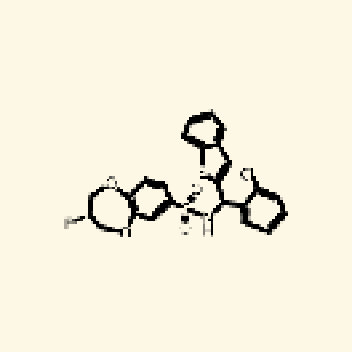 O=S(=O)(NC(c1cc2ccccc2s1)c1ccccc1Cl)c1ccc2c(c1)OC[C@@H](F)CO2